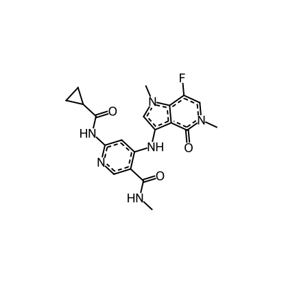 CNC(=O)c1cnc(NC(=O)C2CC2)cc1Nc1cn(C)c2c(F)cn(C)c(=O)c12